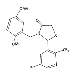 COc1ccc(OC)c(CN2C(=O)CSC2c2cc(F)ccc2C(F)(F)F)c1